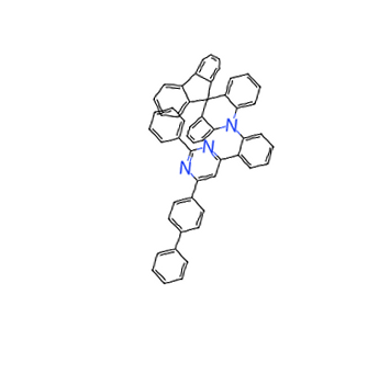 c1ccc(-c2ccc(-c3cc(-c4ccccc4N4c5ccccc5C5(c6ccccc6-c6ccccc65)c5ccccc54)nc(-c4ccccc4)n3)cc2)cc1